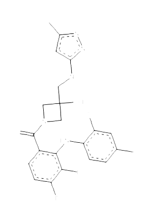 Cc1cc(NCC2(O)CN(C(=O)c3ccc(F)c(F)c3Nc3ccc(I)cc3F)C2)n[nH]1